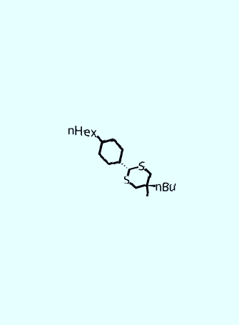 CCCCCCC1CCC([C@H]2SC[C@](C)(CCCC)CS2)CC1